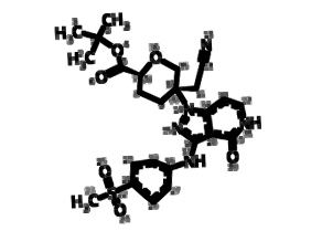 CC(C)(C)OC(=O)[C@@H]1CC[C@@](CC#N)(n2nc(Nc3ccc(S(C)(=O)=O)cc3)c3c(=O)[nH]ccc32)CO1